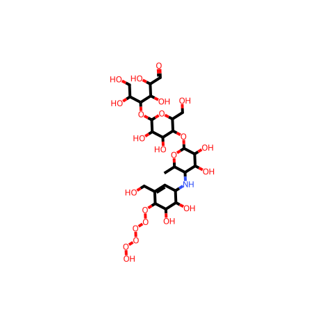 CC1OC(OC2C(CO)OC(OC(C(O)CO)C(O)C(O)C=O)C(O)C2O)C(O)C(O)C1NC1C=C(CO)C(OOOOOO)C(O)C1O